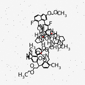 C#Cc1c(F)ccc2cc(OCOC)cc(-c3ncc4c(N5C[C@H]6CC[C@@H](C5)N6C(=O)OC(C)(C)C)nc(OC[C@@]5(C(=O)NCCOCCOc6cc(C(CC(=O)OCC)c7ccc(C)c(CN8C[C@@H](C)Oc9ccccc9S8(=O)=O)c7)cc7nnn(C)c67)CCCN5C)nc4c3F)c12